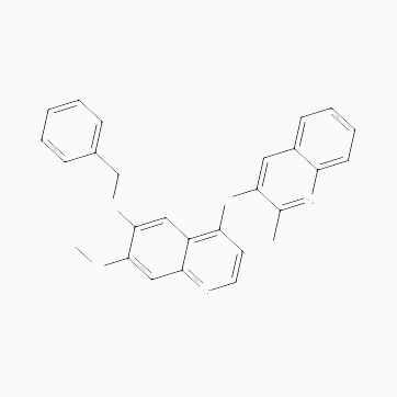 COc1cc2nccc(Oc3cc4ccccc4nc3C)c2cc1OCc1ccccc1